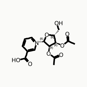 CC(=O)O[C@@H]1[C@H](OC(C)=O)[C@@H](CO)O[C@H]1[n+]1cccc(C(=O)O)c1